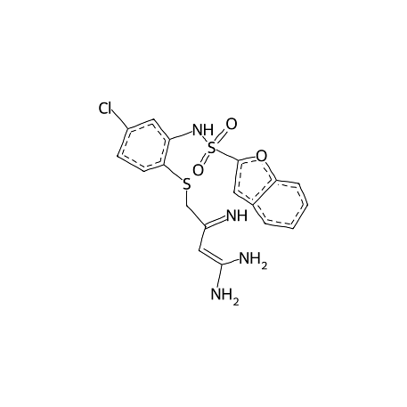 N=C(C=C(N)N)CSc1ccc(Cl)cc1NS(=O)(=O)c1cc2ccccc2o1